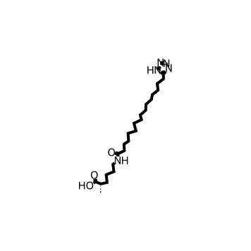 C[C@@H](CCCCNC(=O)CCCCCCCCCCCCCCCc1nnn[nH]1)C(=O)O